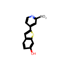 O=[N+]([O-])c1cc(-c2cc3ccc(O)cc3s2)ccn1